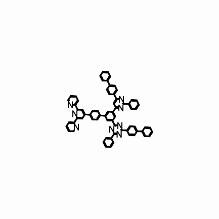 c1ccc(-c2ccc(-c3cc(-c4cc(-c5ccc(-c6cc(-c7ccccn7)nc(-c7ccccn7)c6)cc5)cc(-c5nc(-c6ccccc6)nc(-c6ccc(-c7ccccc7)cc6)n5)c4)nc(-c4ccccc4)n3)cc2)cc1